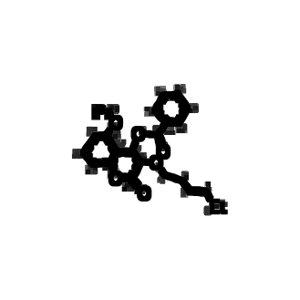 CCC=CCCOc1c(OC(=O)c2ccccc2)c2c(OC(C)C)cccc2oc1=O